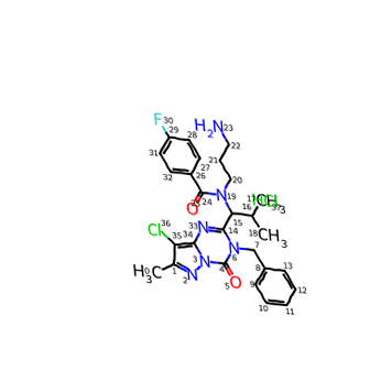 Cc1nn2c(=O)n(Cc3ccccc3)c(C(C(C)C)N(CCCN)C(=O)c3ccc(F)cc3)nc2c1Cl.Cl